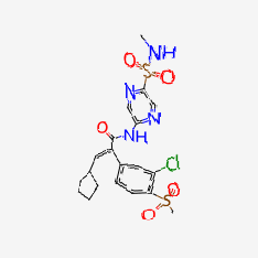 CNS(=O)(=O)c1cnc(NC(=O)/C(=C/C2CCCC2)c2ccc(S(C)(=O)=O)c(Cl)c2)cn1